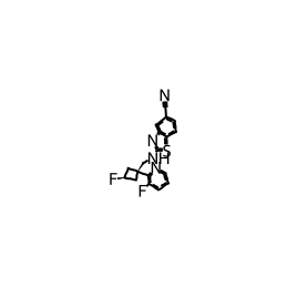 N#Cc1ccc2sc(NC[C@]3(c4ncccc4F)C[C@H](F)C3)nc2c1